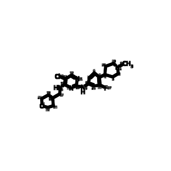 CN1CCC(c2ccc(Nc3ncc(Cl)c(NCC4CCOCC4)n3)cc2F)CC1